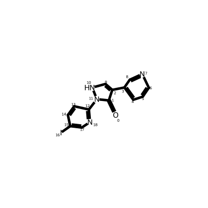 O=c1c(-c2cccnc2)c[nH]n1-c1ccc(I)cn1